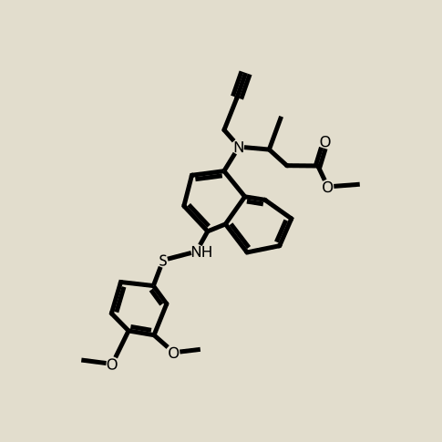 C#CCN(c1ccc(NSc2ccc(OC)c(OC)c2)c2ccccc12)C(C)CC(=O)OC